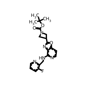 CC(C)(C)OC(=O)N1CC(c2nc3c(NCc4ncccc4F)nccc3o2)C1